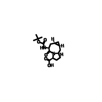 CC(C)(C)OC(=O)N[C@H]1C[C@H]2C[C@H]2C[C@H]2CC[C@@H](C(=O)O)N2C1=O